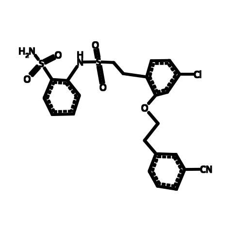 N#Cc1cccc(CCOc2cc(Cl)ccc2CCS(=O)(=O)Nc2ccccc2S(N)(=O)=O)c1